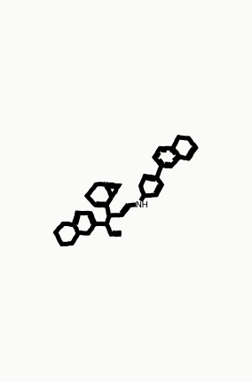 C=CC(C1=CC=C2CCCCC2C1)C(/C=C/NC1C=CC(c2ccc3c(c2)C=CCC3)=CC1)C1=CCCC2=CC21